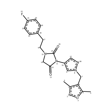 Cc1noc(C)c1Cn1cc(N2C(=O)CN(CCc3ccc(F)cc3)C2=O)cn1